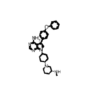 CN[C@@H]1CCCN([C@H]2CC[C@@H](n3cc(-c4ccc(Oc5ccccc5)cc4)c4c(N)ncnc43)CC2)C1